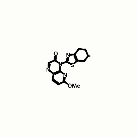 COc1ccc2ncc(=O)n(-c3nc4c(s3)C[C]CC4)c2n1